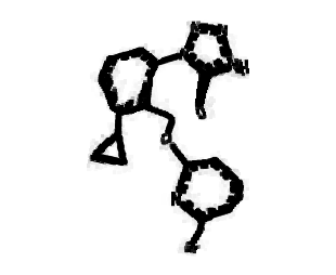 O=c1[nH]nnn1-c1cccc(C2CC2)c1COc1cccc(Br)n1